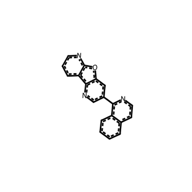 c1ccc2c(-c3cnc4c(c3)oc3ncccc34)nccc2c1